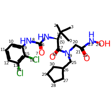 CC(C)(C)[C@H](NC(=O)Nc1cccc(Cl)c1Cl)C(=O)N(CC(=O)NO)CC1CCCC1